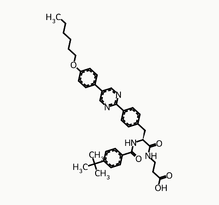 CCCCCCOc1ccc(-c2cnc(-c3ccc(C[C@H](NC(=O)c4ccc(C(C)(C)C)cc4)C(=O)NCCC(=O)O)cc3)nc2)cc1